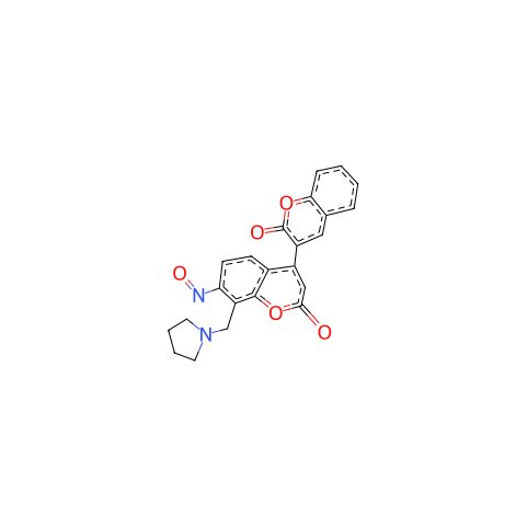 O=Nc1ccc2c(-c3cc4ccccc4oc3=O)cc(=O)oc2c1CN1CCCC1